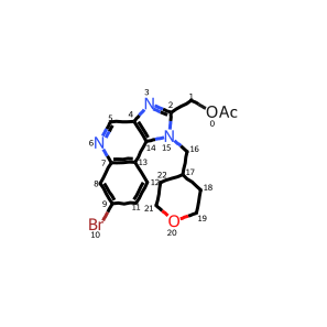 CC(=O)OCc1nc2cnc3cc(Br)ccc3c2n1CC1CCOCC1